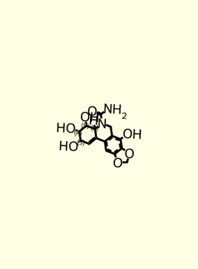 NC(=O)N1Cc2c(cc3c(c2O)OCO3)C2=C[C@H](O)[C@@H](O)[C@@H](O)[C@@H]21